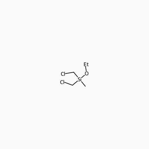 CCO[Si](C)(CCl)CCl